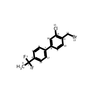 CC(F)(F)c1ccc(-c2ccc(CBr)c(Cl)c2)cc1